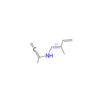 C=C=C(C)N/C=C(\C)C=C